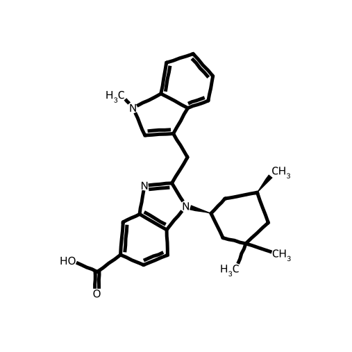 C[C@@H]1C[C@H](n2c(Cc3cn(C)c4ccccc34)nc3cc(C(=O)O)ccc32)CC(C)(C)C1